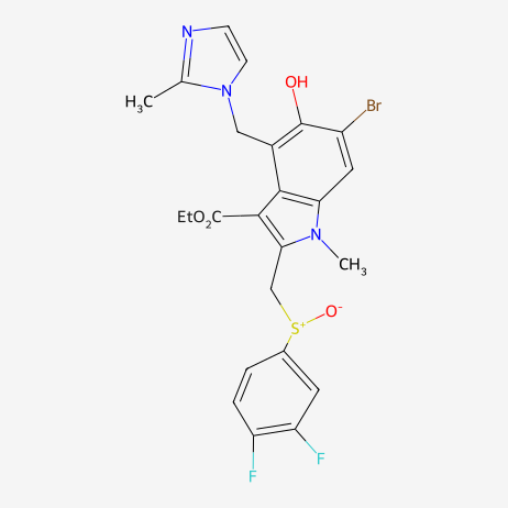 CCOC(=O)c1c(C[S+]([O-])c2ccc(F)c(F)c2)n(C)c2cc(Br)c(O)c(Cn3ccnc3C)c12